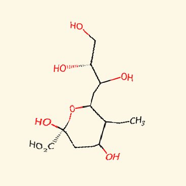 CC1C(O)C[C@](O)(C(=O)O)OC1C(O)[C@H](O)CO